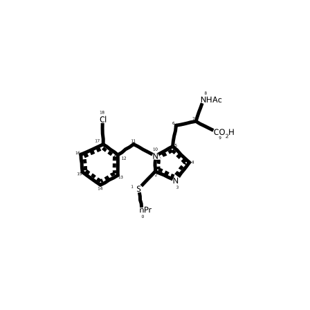 CCCSc1ncc(CC(NC(C)=O)C(=O)O)n1Cc1ccccc1Cl